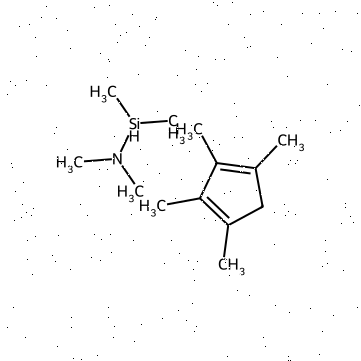 CC1=C(C)C(C)=C(C)C1.CN(C)[SiH](C)C